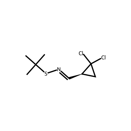 CC(C)(C)SN=C[C@@H]1CC1(Cl)Cl